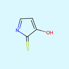 OC1=CC=NC1=S